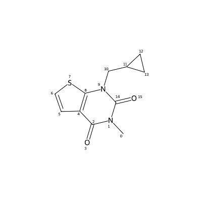 Cn1c(=O)c2ccsc2n(CC2CC2)c1=O